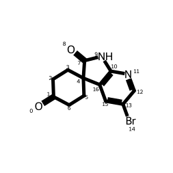 O=C1CCC2(CC1)C(=O)Nc1ncc(Br)cc12